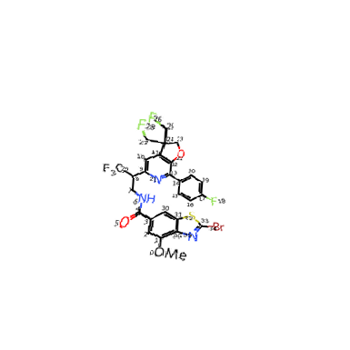 COc1cc(C(=O)NCC(c2cc3c(c(-c4ccc(F)cc4)n2)OCC3(CF)CF)C(F)(F)F)cc2sc(Br)nc12